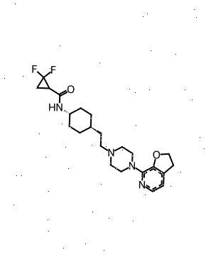 O=C(N[C@H]1CC[C@H](CCN2CCN(c3nccc4c3OCC4)CC2)CC1)C1CC1(F)F